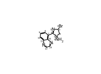 NN1CC(Br)N=C1c1cccc2nccnc12